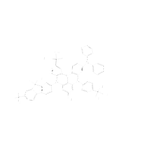 Cc1cc2c3c(c1)N(c1ccc(C(C)(C)C)cc1)c1cc(N(c4ccccc4)c4ccccc4)ccc1B3c1cc(C(C)(C)C)ccc1N2c1ccc2c(c1)C(C)(C)c1cc(C(C)(C)C)ccc1-2